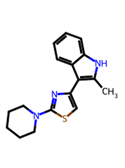 Cc1[nH]c2ccccc2c1-c1csc(N2CCCCC2)n1